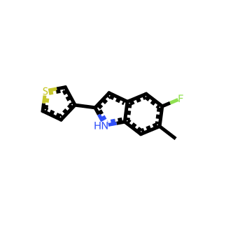 Cc1cc2[nH]c(-c3ccsc3)cc2cc1F